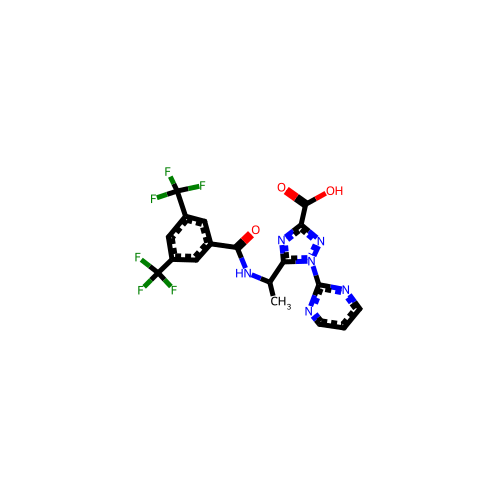 CC(NC(=O)c1cc(C(F)(F)F)cc(C(F)(F)F)c1)c1nc(C(=O)O)nn1-c1ncccn1